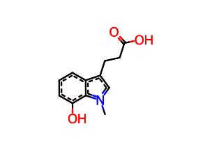 Cn1cc(CCC(=O)O)c2cccc(O)c21